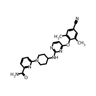 Cc1cc(C#N)cc(C)c1Oc1ccnc(NC2CCN(c3cccc(C(N)=O)n3)CC2)n1